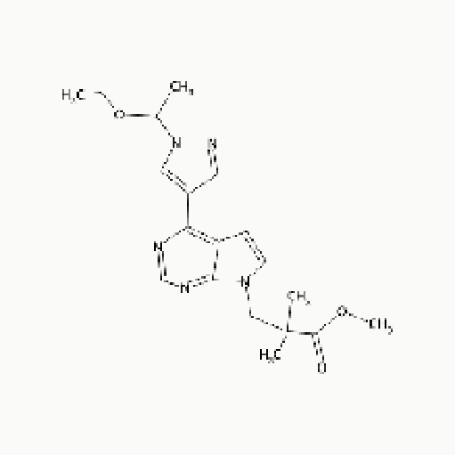 CCOC(C)n1cc(-c2ncnc3c2ccn3CC(C)(C)C(=O)OC)cn1